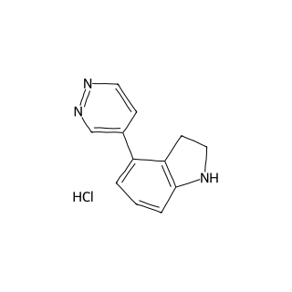 Cl.c1cc2c(c(-c3ccnnc3)c1)CCN2